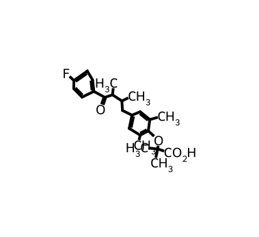 Cc1cc(CC(C)C(C)C(=O)c2ccc(F)cc2)cc(C)c1OC(C)(C)C(=O)O